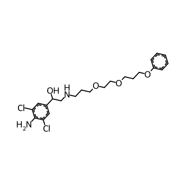 Nc1c(Cl)cc(C(O)CNCCCOCCOCCCOc2ccccc2)cc1Cl